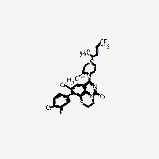 C[C@H]1CN(C(O)/C=C/C(F)(F)F)CCN1c1nc(=O)n2c3c(c(-c4ccc(Cl)c(F)c4)c(Cl)cc13)SCC2